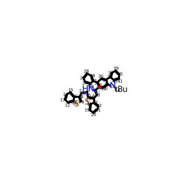 C=C/C(=C/c1c(/C=C\c2csc3ccccc23)sc2ccccc12)Nc1ccccc1-c1ccc2c(c1)c1ccccc1n2C(C)(C)C